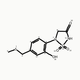 CSCc1ccc(N2CC(=O)NS2(=O)=O)c(O)c1